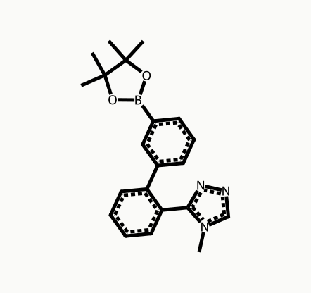 Cn1cnnc1-c1ccccc1-c1cccc(B2OC(C)(C)C(C)(C)O2)c1